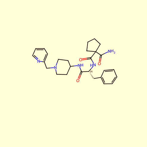 NC(=O)C1(C(=O)N[C@H](Cc2ccccc2)C(=O)NC2CCN(Cc3ccccn3)CC2)CCCC1